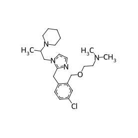 CC(Cn1ccnc1Cc1ccc(Cl)cc1COCCN(C)C)N1CCCCC1